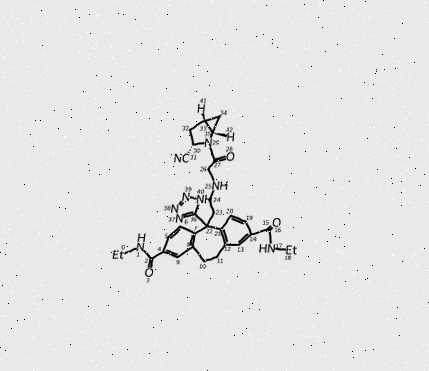 CCNC(=O)c1ccc2c(c1)CCc1cc(C(=O)NCC)ccc1C2(CCNCC(=O)N1[C@H](C#N)C[C@@H]2C[C@@H]21)c1nnn[nH]1